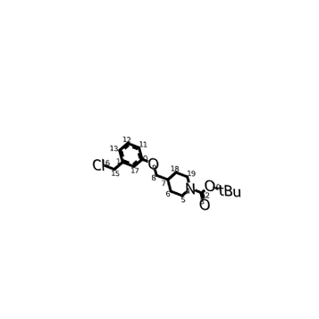 CC(C)(C)OC(=O)N1CCC(COc2cccc(CCl)c2)CC1